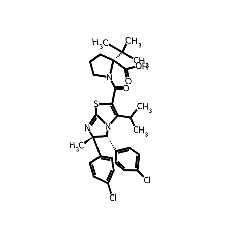 CC(C)C1=C(C(=O)N2CCC[C@]2(C(=O)O)C(C)(C)C)SC2=N[C@@](C)(c3ccc(Cl)cc3)[C@@H](c3ccc(Cl)cc3)N21